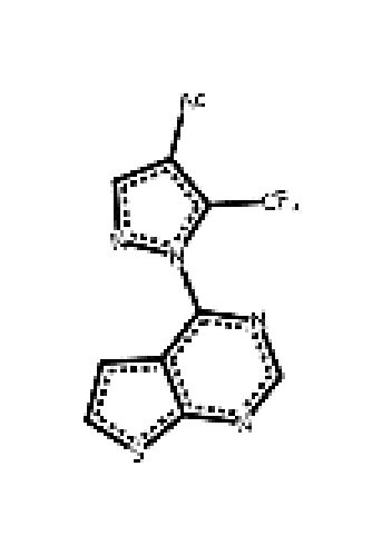 CC(=O)c1cnn(-c2ncnc3sccc23)c1C(F)(F)F